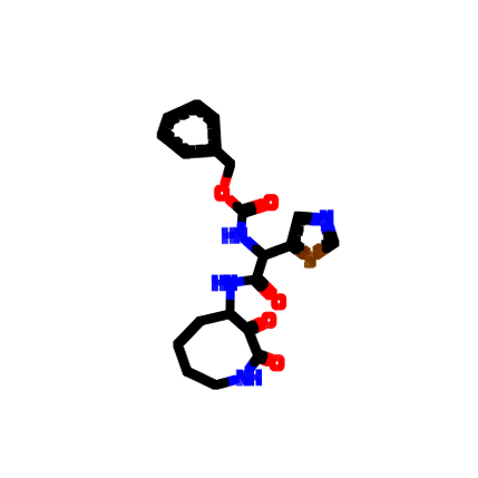 O=C(NC(C(=O)NC1CCCCNC(=O)C1=O)c1cncs1)OCc1ccccc1